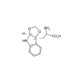 NC(C[C@@]12OCO[C@@H]1Nc1ccccc12)C(=O)O